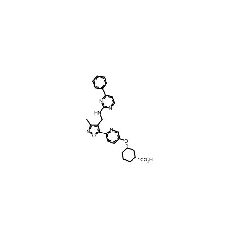 Cc1noc(-c2ccc(O[C@H]3CCC[C@@H](C(=O)O)C3)cn2)c1CNc1nccc(-c2ccccc2)n1